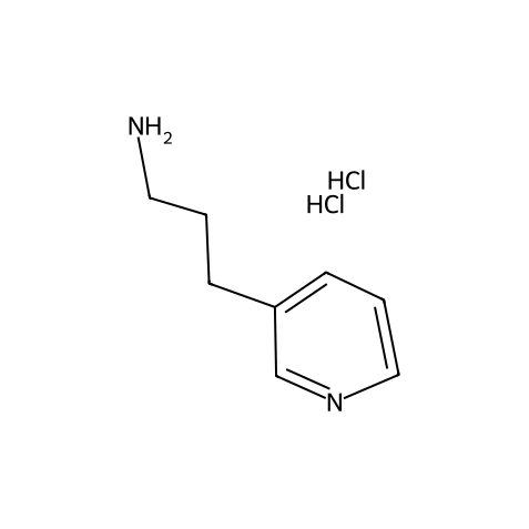 Cl.Cl.NCCCc1cccnc1